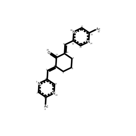 CC(=O)c1cnc(/C=C2\CCC/C(=C\c3cnc(C(C)=O)cn3)C2=O)cn1